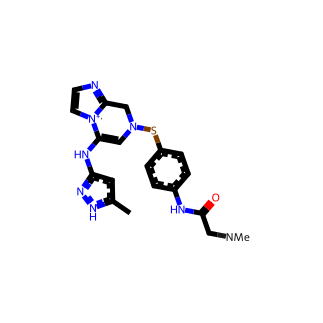 CNCC(=O)Nc1ccc(SN2C=C(Nc3cc(C)[nH]n3)[N+]3C=CN=C3C2)cc1